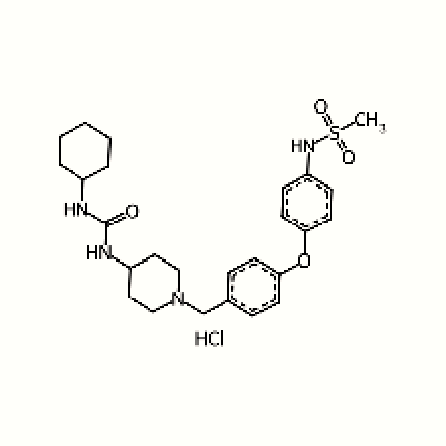 CS(=O)(=O)Nc1ccc(Oc2ccc(CN3CCC(NC(=O)NC4CCCCC4)CC3)cc2)cc1.Cl